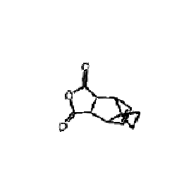 O=C1OC(=O)C2C1C1C=CC2C12CC2